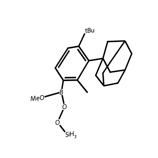 COB(OO[SiH3])c1ccc(C(C)(C)C)c(C23CC4CC(CC(C4)C2)C3)c1C